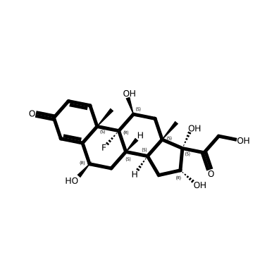 C[C@]12C=CC(=O)C=C1[C@H](O)C[C@H]1[C@@H]3C[C@@H](O)[C@](O)(C(=O)CO)[C@@]3(C)C[C@H](O)[C@@]12F